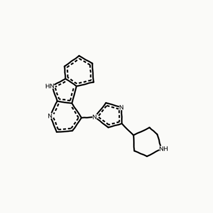 c1ccc2c(c1)[nH]c1nccc(-n3cnc(C4CCNCC4)c3)c12